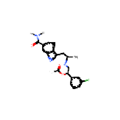 CCN(CC)C(=O)c1ccc2c(C[C@@H](C)NC[C@H](OC(=O)C(F)(F)F)c3cccc(Cl)c3)c[nH]c2c1